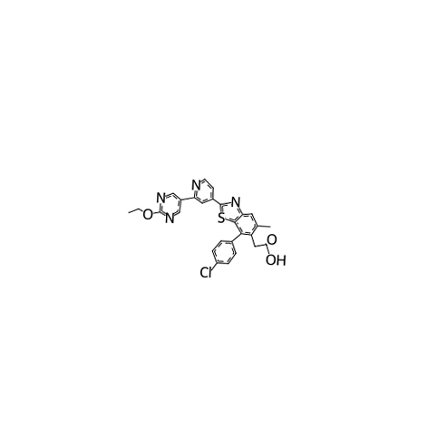 CCOc1ncc(-c2cc(-c3nc4cc(C)c(CC(=O)O)c(-c5ccc(Cl)cc5)c4s3)ccn2)cn1